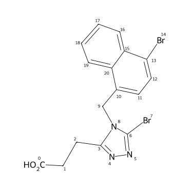 O=C(O)CCc1nnc(Br)n1Cc1ccc(Br)c2ccccc12